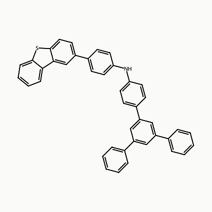 c1ccc(-c2cc(-c3ccccc3)cc(-c3ccc(Nc4ccc(-c5ccc6sc7ccccc7c6c5)cc4)cc3)c2)cc1